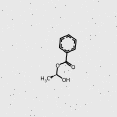 C[C@H](O)OC(=O)c1ccccc1